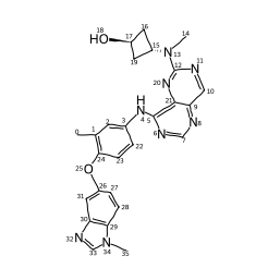 Cc1cc(Nc2ncnc3cnc(N(C)[C@H]4C[C@H](O)C4)nc23)ccc1Oc1ccc2c(c1)ncn2C